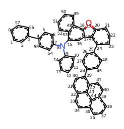 c1ccc(-c2ccc(N(c3ccccc3)c3cc4c(oc5cccc(-c6ccc(-c7ccc8ccc9cccc%10ccc7c8c9%10)cc6)c54)c4ccccc34)cc2)cc1